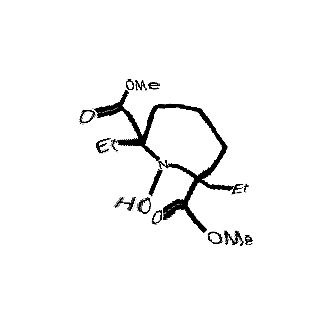 CCC1(C(=O)OC)CCCC(CC)(C(=O)OC)N1O